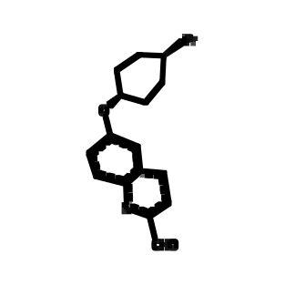 CC(C)[C@H]1CC[C@@H](Oc2ccc3nc(C=O)ccc3c2)CC1